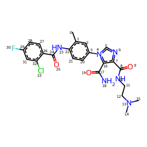 Cc1cc(-n2cnc(C(=O)NCCN(C)C)c2C(N)=O)ccc1NC(=O)c1ccc(F)cc1Cl